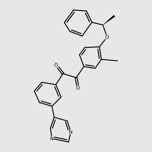 Cc1cc(C(=O)C(=O)c2cccc(-c3cncnc3)c2)ccc1O[C@H](C)c1ccccc1